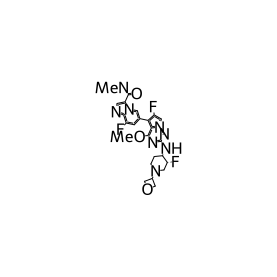 CNC(=O)c1cnc2c(F)cc(-c3c(F)cn4nc(N[C@H]5CCN(C6COC6)C[C@H]5F)nc(OC)c34)cn12